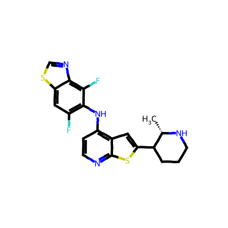 C[C@@H]1NCCCC1c1cc2c(Nc3c(F)cc4scnc4c3F)ccnc2s1